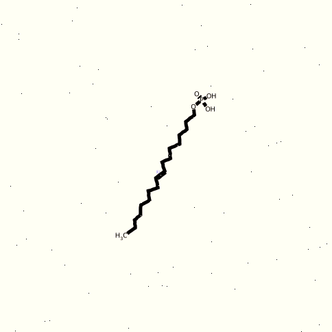 CCCCCCCC/C=C/CCCCCCCCOP(=O)(O)O